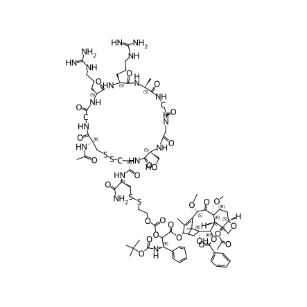 CO[C@@H]1C(=O)[C@@]2(C)[C@H](OC)C[C@@H]3OC[C@]3(OC(C)=O)[C@@H]2[C@@H](OC(=O)c2ccccc2)[C@@]2(O)CC(OC(=O)C(OC(=O)OCCSSC[C@H](NC(=O)[C@@H]3CSSC[C@H](NC(C)=O)C(=O)NCC(=O)N[C@@H](CCCNC(=N)N)C(=O)N[C@@H](CCCNC(=N)N)C(=O)N[C@@H](C)C(=O)NCC(=O)NCC(=O)N[C@@H](CO)C(=O)N3)C(N)=O)[C@H](NC(=O)OC(C)(C)C)c3ccccc3)C(C)=C1C2(C)C